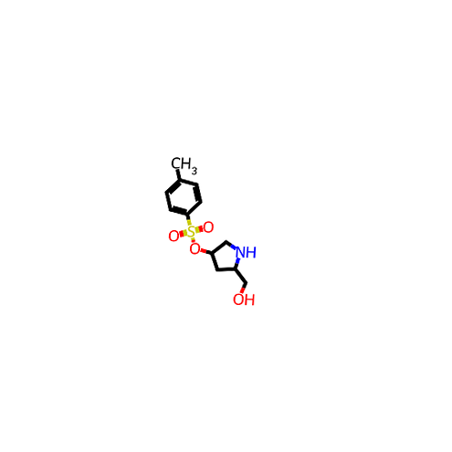 Cc1ccc(S(=O)(=O)OC2CNC(CO)C2)cc1